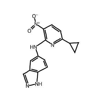 O=[N+]([O-])c1ccc(C2CC2)nc1Nc1ccc2[nH]ncc2c1